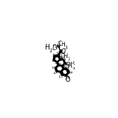 CN(C)C(=O)C1CCC2C3CCC4=CC(=O)C=CC4(C)C3C(O)CC12C